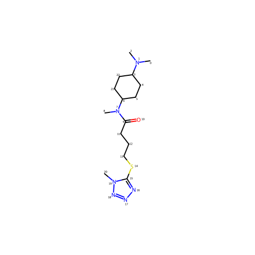 CN(C)C1CCC(N(C)C(=O)CCCSc2nnnn2C)CC1